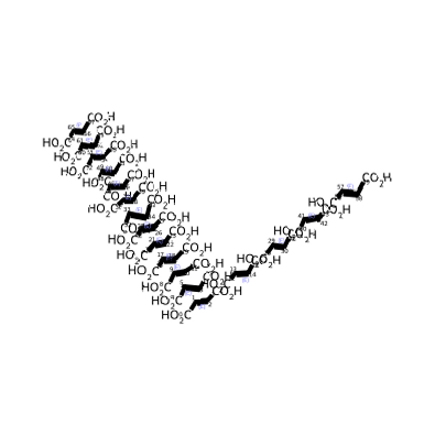 O=C(O)/C=C/C(=O)O.O=C(O)/C=C/C(=O)O.O=C(O)/C=C/C(=O)O.O=C(O)/C=C/C(=O)O.O=C(O)/C=C/C(=O)O.O=C(O)/C=C/C(=O)O.O=C(O)/C=C/C(=O)O.O=C(O)/C=C/C(=O)O.O=C(O)/C=C/C(=O)O.O=C(O)/C=C/C(=O)O.O=C(O)/C=C/C(=O)O.O=C(O)/C=C/C(=O)O.O=C(O)/C=C/C(=O)O.O=C(O)/C=C/C(=O)O.O=C(O)/C=C/C(=O)O.O=C(O)/C=C/C(=O)O.O=C(O)/C=C/C(=O)O